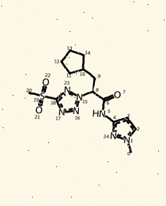 Cn1ccc(NC(=O)[C@H](CC2CCCC2)n2nnc(S(C)(=O)=O)n2)n1